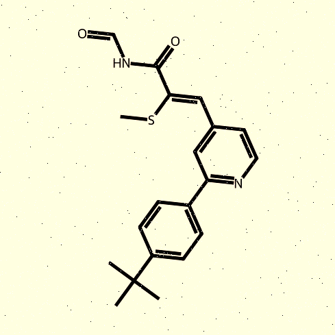 CS/C(=C\c1ccnc(-c2ccc(C(C)(C)C)cc2)c1)C(=O)NC=O